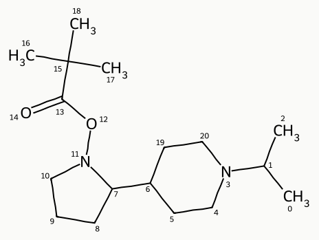 CC(C)N1CCC(C2CCCN2OC(=O)C(C)(C)C)CC1